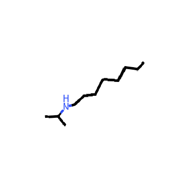 CCCCCCCCNC(C)C